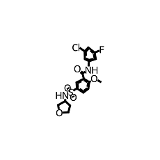 COc1ccc(S(=O)(=O)NC2CCOC2)cc1C(=O)Nc1cc(F)cc(Cl)c1